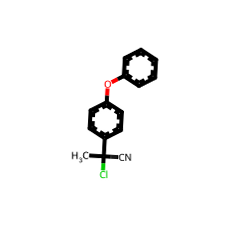 CC(Cl)(C#N)c1ccc(Oc2ccccc2)cc1